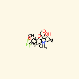 COc1cc(C2OC3(CCOCC3)c3c4c(nc(C(C)C)c32)CC2(CC2)CC4O)ccc1C(F)(F)F